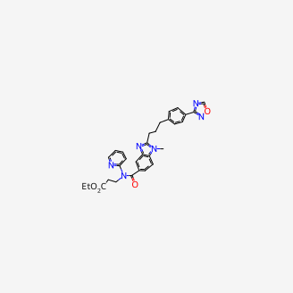 CCOC(=O)CCN(C(=O)c1ccc2c(c1)nc(CCCc1ccc(-c3ncon3)cc1)n2C)c1ccccn1